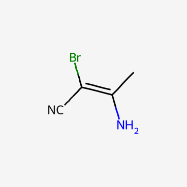 CC(N)=C(Br)C#N